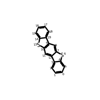 c1ccc2c(c1)sc1cc3c(cc12)sc1ccccc13